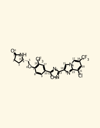 O=C1CC[C@@H](COc2ccc(-c3nc(-c4cn5cc(C(F)(F)F)cc(Cl)c5n4)no3)cc2C(F)(F)F)N1